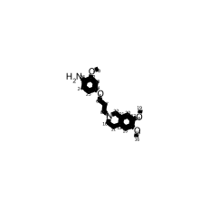 COc1cc(OCCCN2CCc3cc(OC)c(OC)cc3C2)ccc1N